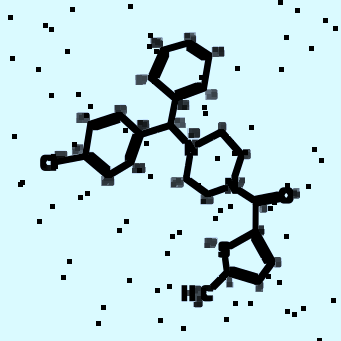 Cc1ccc(C(=O)N2CCN(C(c3ccccc3)c3ccc(Cl)cc3)CC2)s1